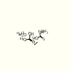 CC.O.O.O.O=C(O)O.O=C(O)O